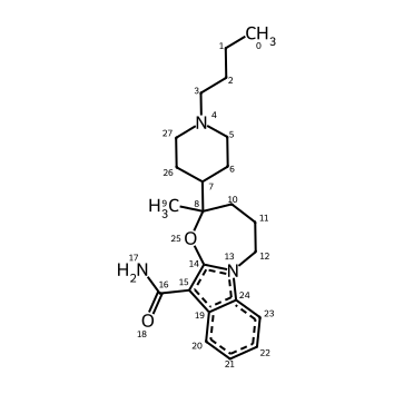 CCCCN1CCC(C2(C)CCCn3c(c(C(N)=O)c4ccccc43)O2)CC1